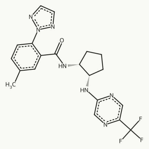 Cc1ccc(-n2nccn2)c(C(=O)N[C@@H]2CCC[C@@H]2Nc2cnc(C(F)(F)F)cn2)c1